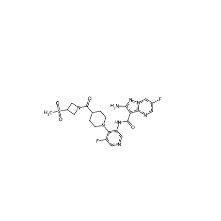 CS(=O)(=O)C1CN(C(=O)C2CCN(c3c(F)cncc3NC(=O)c3c(N)nn4cc(F)cnc34)CC2)C1